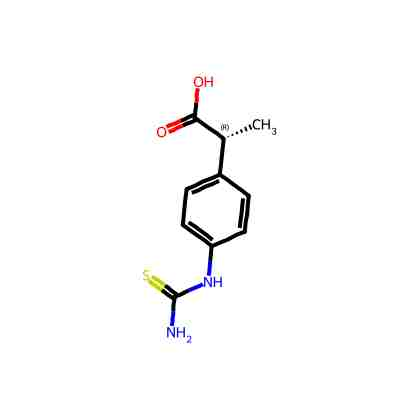 C[C@@H](C(=O)O)c1ccc(NC(N)=S)cc1